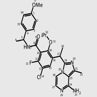 COc1ccc(C(C)NC(=O)c2c(F)c(Cl)cc(C(C)c3nc(C)c4c(N)nccn34)c2OC(C)C)cc1